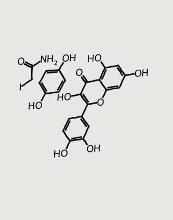 NC(=O)CI.O=c1c(O)c(-c2ccc(O)c(O)c2)oc2cc(O)cc(O)c12.Oc1ccc(O)cc1